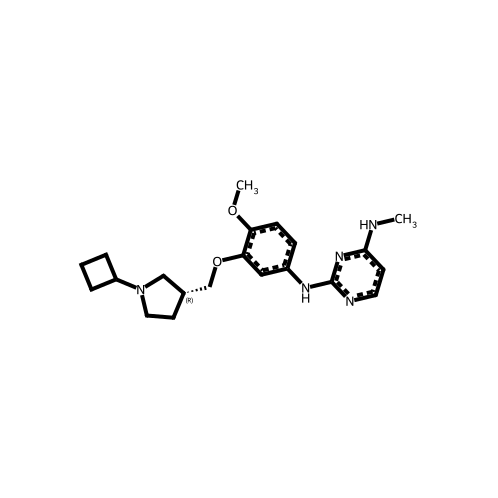 CNc1ccnc(Nc2ccc(OC)c(OC[C@@H]3CCN(C4CCC4)C3)c2)n1